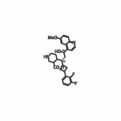 COc1ccc2nccc([C@H](O)C[C@H](C3CC(c4cccc(F)c4F)C3)C3CCNCC3C(=O)O)c2c1